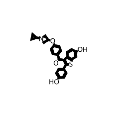 O=C(c1ccc(OC2CN(C3CC3)C2)cc1)c1c(-c2ccc(O)cc2)sc2cc(O)ccc12